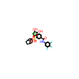 O=C(Nc1cc(F)c(F)c(F)c1)c1ccc(Cl)c(S(=O)(=O)[C@H]2CC3CCC(C2)[C@]3(O)CO[C@H]2C[C@@H](O)[C@@H](O)C2)c1